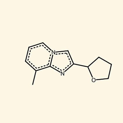 Cc1cccn2cc(C3CCCO3)nc12